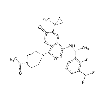 CC(=O)N1CCN(c2nnc(N[C@H](C)c3cccc(C(F)F)c3F)c3cn(C4(C)CC4)c(=O)cc23)CC1